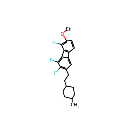 CCOc1ccc2c(c1F)-c1c-2cc(CCC2CCC(C)CC2)c(F)c1F